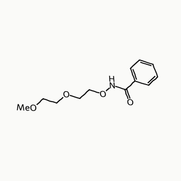 COCCOCCONC(=O)c1ccccc1